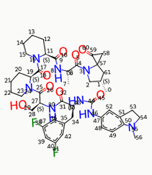 C[C@@H]1CN(C(=O)[C@H](C)NC(=O)[C@@H]2CCCCN2C(=O)[C@@H]2CCCCN2C(=O)[C@H](CO)NC(=O)[C@H](Cc2cc(F)cc(F)c2)NC(=O)Nc2ccc3c(c2)CCN3C)C2(CC2=O)C1